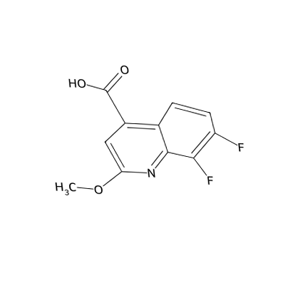 COc1cc(C(=O)O)c2ccc(F)c(F)c2n1